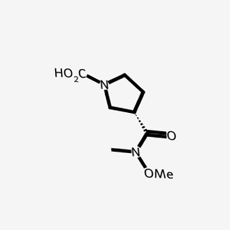 CON(C)C(=O)[C@H]1CCN(C(=O)O)C1